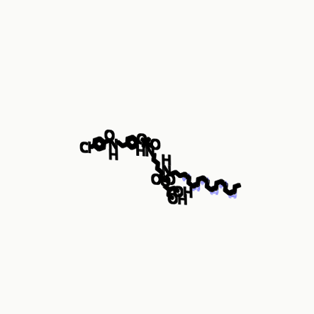 CC/C=C\C/C=C\C/C=C\C/C=C\C/C=C\C/C=C\CCC(=O)NC(CCCCNC(=O)C(C)(C)Oc1ccc(CCNC(=O)c2ccc(Cl)cc2)cc1)C(=O)OCC(CO)CO